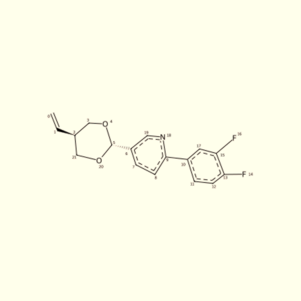 C=C[C@H]1CO[C@H](c2ccc(-c3ccc(F)c(F)c3)nc2)OC1